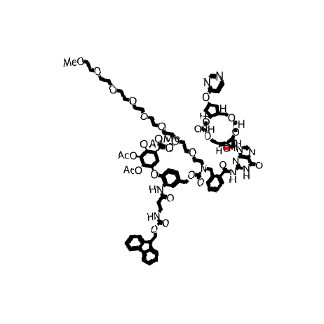 COCCOCCOCCOCCOCCOCCOCCOCCN(Cc1ccccc1C(=O)Nc1nc2c(ncn2[C@@H]2O[C@@H]3CO[PH](=O)O[C@H]4C[C@H](Oc5ccncn5)C[C@@H]4COPO[C@@H]2[C@@H]3O)c(=O)[nH]1)C(=O)OCc1ccc(O[C@@H]2C[C@H](C(=O)OC)[C@@H](OC(C)=O)[C@H](OC(C)=O)[C@H]2OC(C)=O)c(NC(=O)CCNC(=O)OCC2c3ccccc3-c3ccccc32)c1